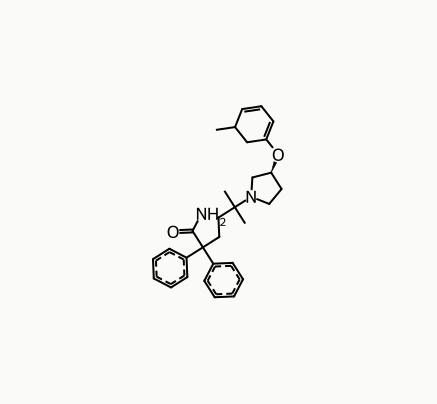 CC1C=CC=C(O[C@H]2CCN(C(C)(C)CCC(C(N)=O)(c3ccccc3)c3ccccc3)C2)C1